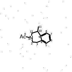 CC(=O)N1CCc2ccccc2C(C)C1